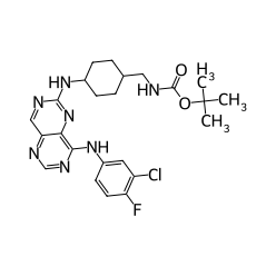 CC(C)(C)OC(=O)NCC1CCC(Nc2ncc3ncnc(Nc4ccc(F)c(Cl)c4)c3n2)CC1